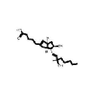 CCCCC[C@](C)(O)/C=C/[C@@H]1[C@H]2CC(CCCCC(=O)O)=C[C@H]2C[C@H]1O